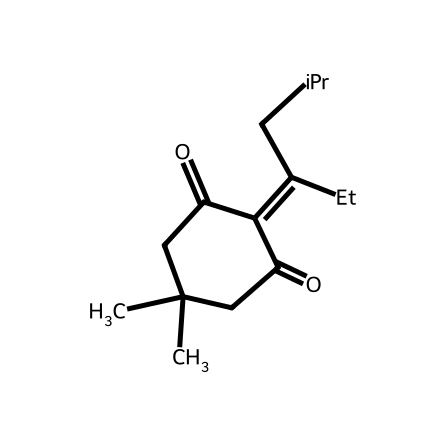 CCC(CC(C)C)=C1C(=O)CC(C)(C)CC1=O